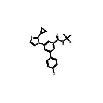 CCC(C)(C)NC(=O)c1cc(-c2ccc(Cl)cc2)cc(-n2ccnc2C2CC2)c1